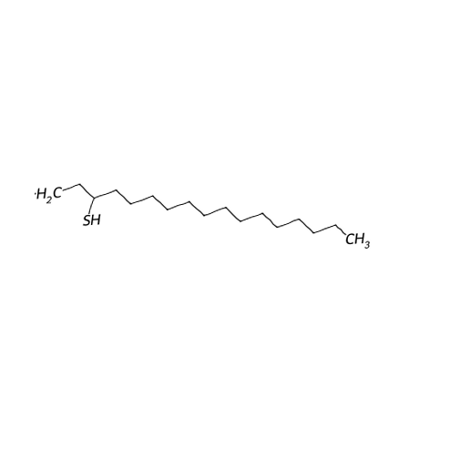 [CH2]CC(S)CCCCCCCCCCCCCC